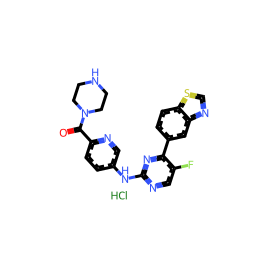 Cl.O=C(c1ccc(Nc2ncc(F)c(-c3ccc4scnc4c3)n2)cn1)N1CCNCC1